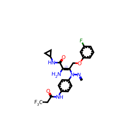 C=NN(/C(COc1cccc(F)c1)=C(\N)C(=O)NC1CC1)c1ccc(NC(=O)CC(F)(F)F)cc1